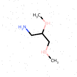 CBCC(BC)CN